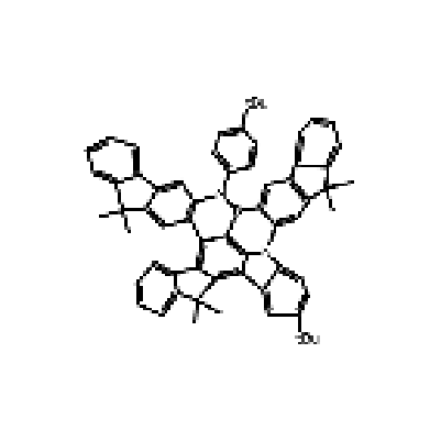 CC(C)(C)c1ccc(N2B3c4cc5c(cc4-n4c6ccc(C(C)(C)C)cc6c6c7c(c(c3c64)-c3cc4c(cc32)-c2ccccc2C4(C)C)-c2ccccc2C7(C)C)C(C)(C)c2ccccc2-5)cc1